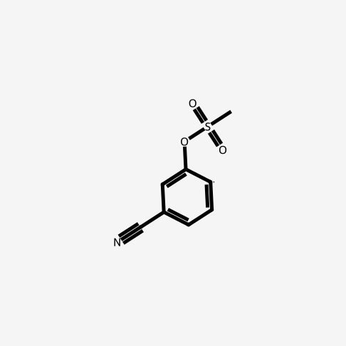 CS(=O)(=O)Oc1[c]ccc(C#N)c1